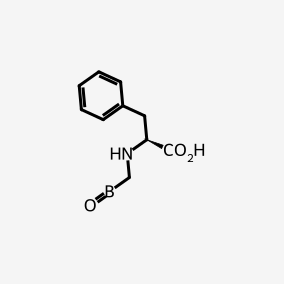 O=BCN[C@@H](Cc1ccccc1)C(=O)O